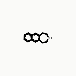 c1ccc2cc3c(cc2c1)CCNCC3